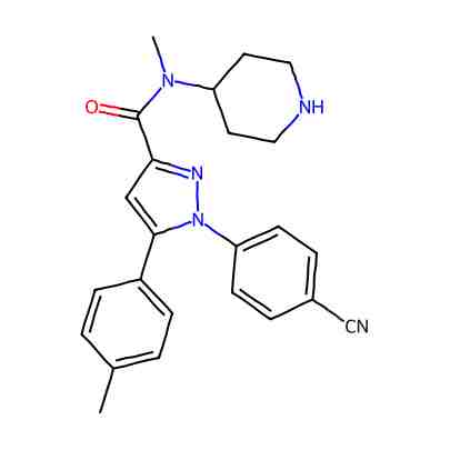 Cc1ccc(-c2cc(C(=O)N(C)C3CCNCC3)nn2-c2ccc(C#N)cc2)cc1